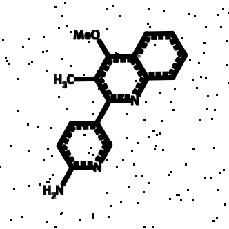 COc1c(C)c(-c2ccc(N)nc2)nc2ccccc12